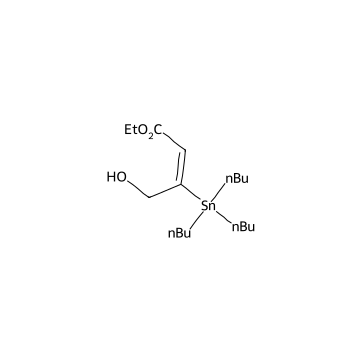 CCC[CH2][Sn]([CH2]CCC)([CH2]CCC)[C](=CC(=O)OCC)CO